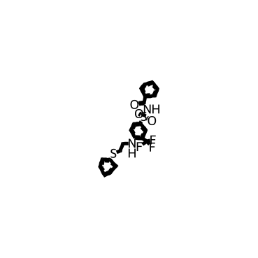 O=C(NS(=O)(=O)c1ccc(NCCSc2ccccc2)c(C(F)(F)F)c1)c1ccccc1